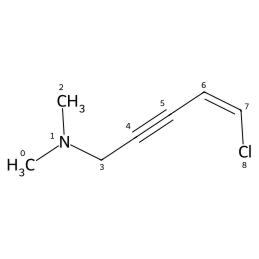 CN(C)CC#C/C=C\Cl